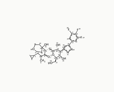 CN(CC1CC1)C(=O)[C@@H](S[C@@H]1O[C@H](CO)[C@H](O)[C@H](n2cc(-c3cc(F)c(F)c(F)c3)nn2)[C@H]1O)C1(O)CCOCC1